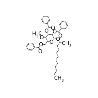 CCCCCCCCCCC(C)O[C@@H]1OC(COC(=O)c2ccccc2)C(OC)C(OC(=O)c2ccccc2)C1OC(=O)c1ccccc1